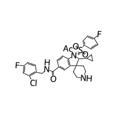 CC(=O)[N+]1(S(=O)(=O)c2ccc(F)cc2)c2ccc(C(=O)NCc3ccc(F)cc3Cl)cc2C2(CCNCC2)C1C1CC1